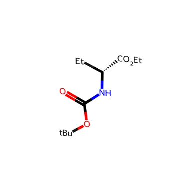 CCOC(=O)[C@@H](CC)NC(=O)OC(C)(C)C